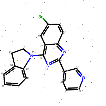 Brc1ccc2nc(-c3cccnc3)nc(N3CCc4ccccc43)c2c1